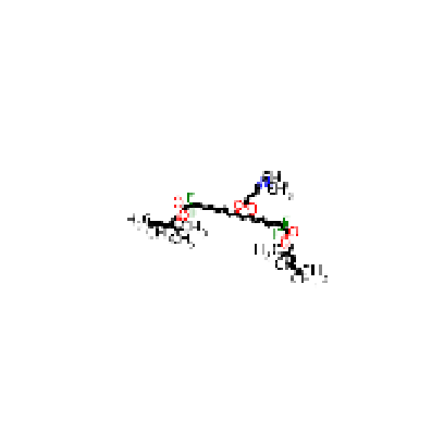 CC(C)CCC(COC(=O)C(F)(F)CCCCCCC(CCCCCCC(F)(F)C(=O)OCC(CCC(C)C)C(C)C)OC(=O)CCCN(C)C)C(C)C